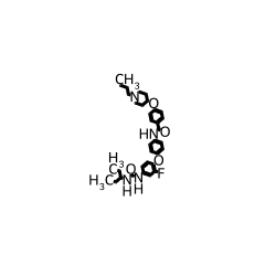 CCCCN1CCC(Oc2ccc(C(=O)Nc3ccc(Oc4ccc(NC(=O)NC(CC)CC)cc4F)cc3)cc2)CC1